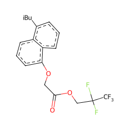 CCC(C)c1cccc2c(OCC(=O)OCC(F)(F)C(F)(F)F)cccc12